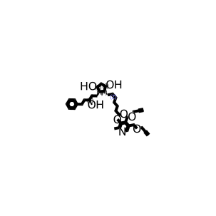 C#CCOCc1cnc(C)c(OC(=O)CCC/C=C\C[C@@H]2[C@@H](CC[C@@H](O)CCc3ccccc3)[C@H](O)C[C@@H]2O)c1COCC#C